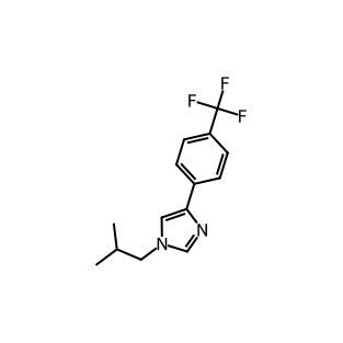 CC(C)Cn1cnc(-c2ccc(C(F)(F)F)cc2)c1